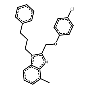 Cc1cccc2c1nc(COc1ccc(Cl)cc1)n2CCCc1ccccc1